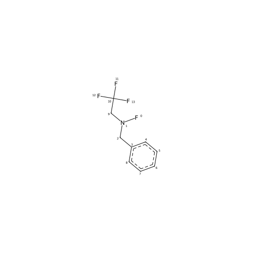 FN(Cc1ccccc1)CC(F)(F)F